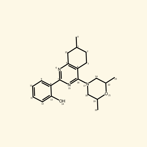 CC1CCc2c(nc(-c3ccccc3O)nc2N2CC(C)OC(C)C2)C1